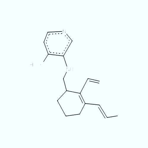 C=CC1=C(/C=C/C)CCCC1CNc1cnccc1C(=O)O